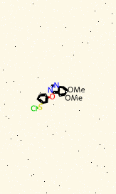 COc1cc2ncnc(Oc3cccc(SCl)c3)c2cc1OC